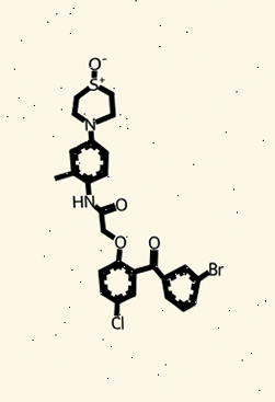 Cc1cc(N2CC[S+]([O-])CC2)ccc1NC(=O)COc1ccc(Cl)cc1C(=O)c1cccc(Br)c1